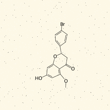 COc1cc(O)cc2c1C(=O)CC(c1ccc(Br)cc1)O2